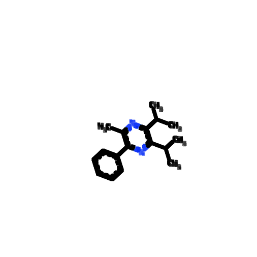 Cc1nc(C(C)C)c(C(C)C)nc1-c1ccccc1